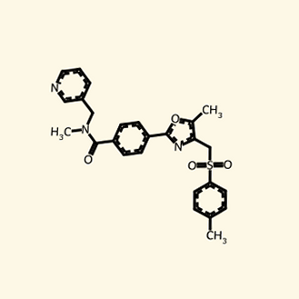 Cc1ccc(S(=O)(=O)Cc2nc(-c3ccc(C(=O)N(C)Cc4cccnc4)cc3)oc2C)cc1